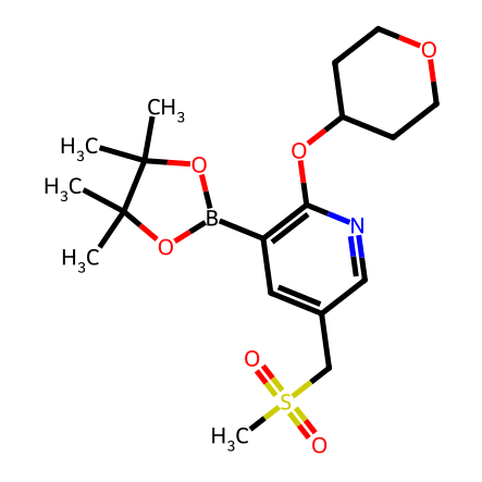 CC1(C)OB(c2cc(CS(C)(=O)=O)cnc2OC2CCOCC2)OC1(C)C